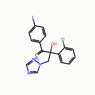 C=C(c1ccc(I)cc1)C(O)(Cn1cncn1)c1ccccc1Cl